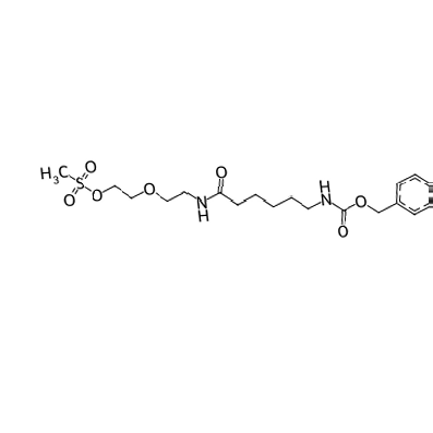 CS(=O)(=O)OCCOCCNC(=O)CCCCCNC(=O)OCc1ccccc1